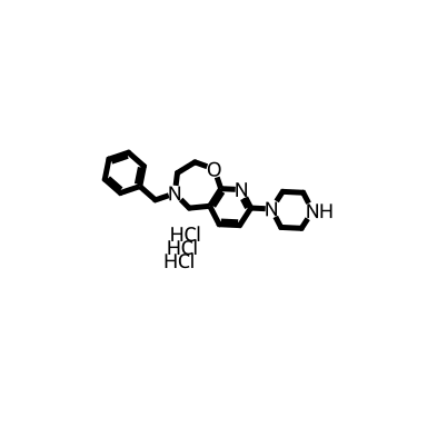 Cl.Cl.Cl.c1ccc(CN2CCOc3nc(N4CCNCC4)ccc3C2)cc1